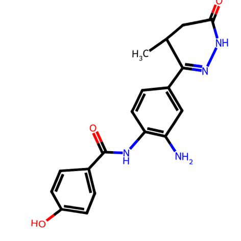 CC1CC(=O)NN=C1c1ccc(NC(=O)c2ccc(O)cc2)c(N)c1